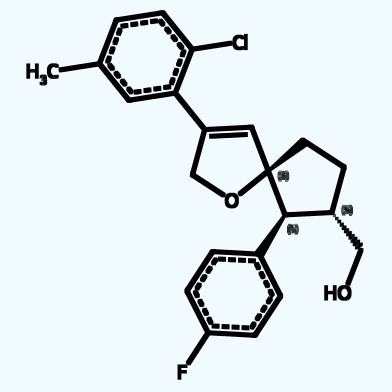 Cc1ccc(Cl)c(C2=C[C@@]3(CC[C@H](CO)[C@H]3c3ccc(F)cc3)OC2)c1